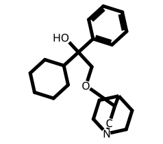 OC(COC1CN2CCC1CC2)(c1ccccc1)C1CCCCC1